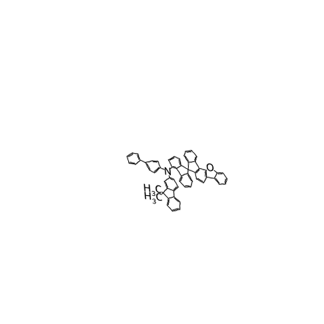 CC1(C)c2ccccc2-c2ccc(N(c3ccc(-c4ccccc4)cc3)c3cccc4c3-c3ccccc3C43c4ccccc4-c4c3ccc3c4oc4ccccc43)cc21